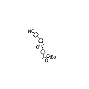 CC(C(=O)OC(C)(C)C)c1ccc(N2Cc3ccc(-c4ccc(C#N)cc4)cc3C2=O)cc1